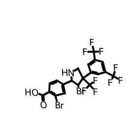 O=C(O)c1ccc(C2NCC(c3cc(C(F)(F)F)cc(C(F)(F)F)c3)(C(F)(F)F)C2Br)cc1Br